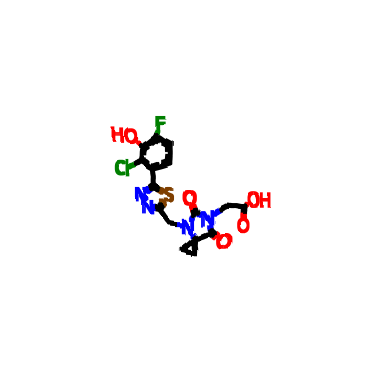 O=C(O)CN1C(=O)N(Cc2nnc(-c3ccc(F)c(O)c3Cl)s2)C2(CC2)C1=O